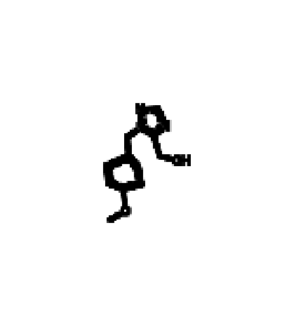 COc1ccc(Cn2ncnc2CO)cc1